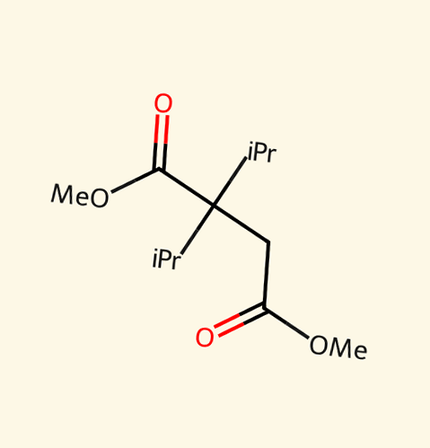 COC(=O)CC(C(=O)OC)(C(C)C)C(C)C